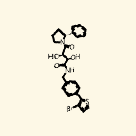 O=C(NCc1ccc(-c2sccc2Br)cc1)[C@H](O)[C@@H](O)C(=O)N1CCC[C@@H]1c1ccccc1